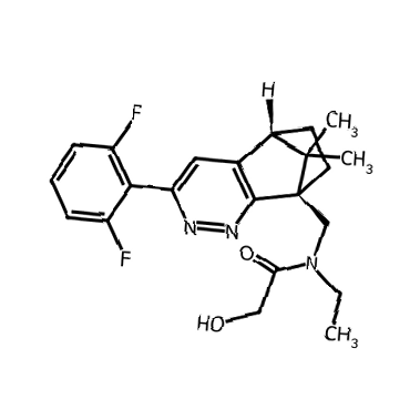 CCN(C[C@@]12CC[C@@H](c3cc(-c4c(F)cccc4F)nnc31)C2(C)C)C(=O)CO